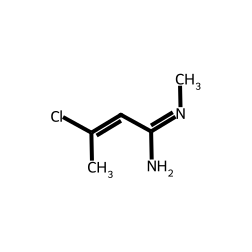 C/N=C(N)\C=C(/C)Cl